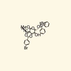 CO[C@H]1O[C@H](CO[Si](c2ccccc2)(c2ccccc2)C(C)(C)C)[C@@H](O)[C@H](OC(=O)c2ccc(Br)cc2)[C@H]1N=[N+]=[N-]